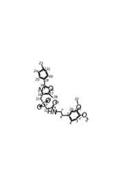 COc1ccc(CCNC(=O)CS(=O)(=O)Cc2nc(-c3ccc(C)cc3)oc2C)cc1OC